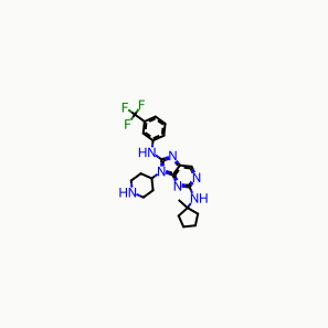 CC1(Nc2ncc3nc(Nc4cccc(C(F)(F)F)c4)n(C4CCNCC4)c3n2)CCCC1